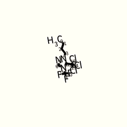 CCCCN1N=CN(C(F)(F)F)C1C(Cl)(Cl)Cl